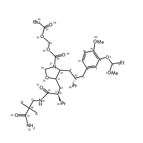 CCC(OC)Oc1cc(C[C@@H](CC2C(C[C@H](C(=O)NCC(C)(C)C(N)=O)C(C)C)OCN2C(=O)OCOC(=O)C(C)(C)C)C(C)C)ccc1OC